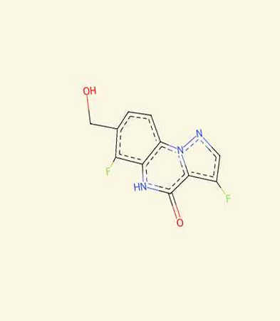 O=c1[nH]c2c(F)c(CO)ccc2n2ncc(F)c12